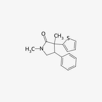 CN1CC(c2ccccc2)C(C)(c2cccs2)C1=O